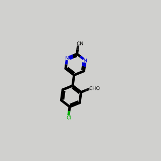 N#Cc1ncc(-c2ccc(Cl)cc2C=O)cn1